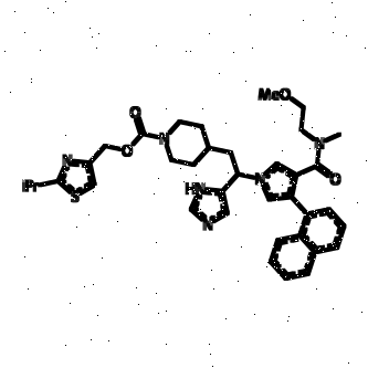 COCCN(C)C(=O)c1cn(C(CC2CCN(C(=O)OCc3csc(C(C)C)n3)CC2)c2cnc[nH]2)cc1-c1cccc2ccccc12